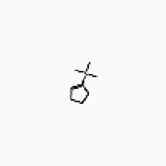 C[Si](C)(C)C1=C[CH]CC1